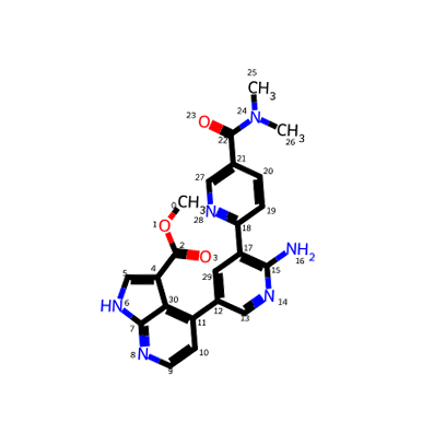 COC(=O)c1c[nH]c2nccc(-c3cnc(N)c(-c4ccc(C(=O)N(C)C)cn4)c3)c12